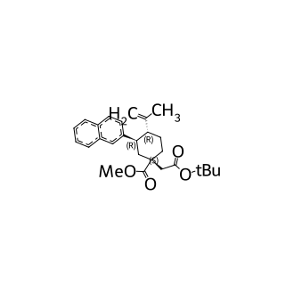 C=C(C)[C@@H]1CC[C@](CC(=O)OC(C)(C)C)(C(=O)OC)C[C@H]1c1ccc2ccccc2c1